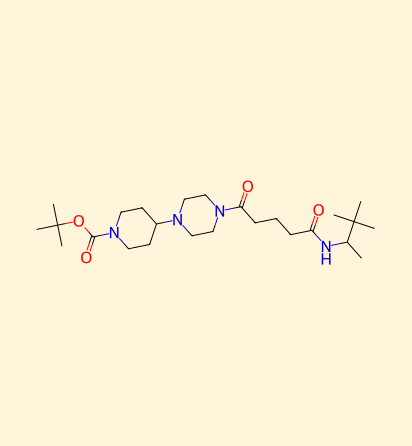 CC(NC(=O)CCCC(=O)N1CCN(C2CCN(C(=O)OC(C)(C)C)CC2)CC1)C(C)(C)C